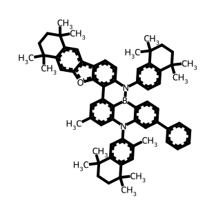 Cc1cc2c3c(c1)N(c1cc4c(cc1C)C(C)(C)CCC4(C)C)c1cc(-c4ccccc4)ccc1B3N(c1ccc3c(c1)C(C)(C)CCC3(C)C)c1ccc3c(oc4cc5c(cc43)C(C)(C)CCC5(C)C)c1-2